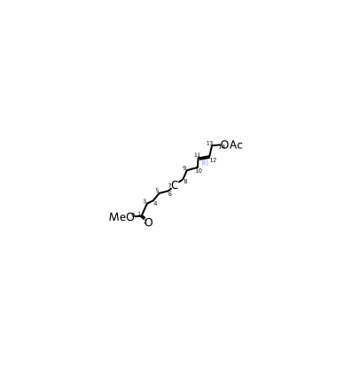 COC(=O)CCCCCCCC/C=C/COC(C)=O